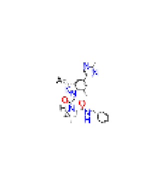 CC(=O)c1nn(CC(=O)N2[C@H](C(=O)NCc3ccccc3)C[C@@]3(C)C[C@@H]23)c2c(C)cc(-c3cnc(C)nc3)cc12